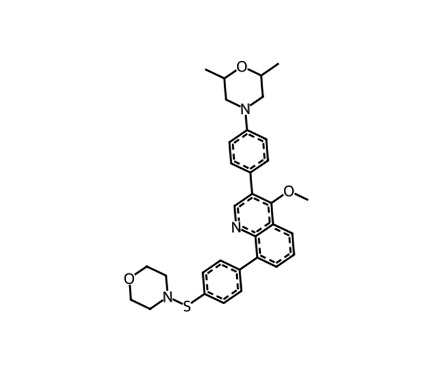 COc1c(-c2ccc(N3CC(C)OC(C)C3)cc2)cnc2c(-c3ccc(SN4CCOCC4)cc3)cccc12